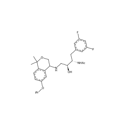 CC(=O)N[C@@H](Cc1cc(F)cc(F)c1)[C@@H](O)CNC1COC(C)(C)c2ccc(OC(C)C)cc21